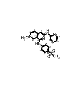 CN1C=Cc2cc(Nc3cnccn3)nc(Nc3ccc(S(C)(=O)=O)cc3)c2C1